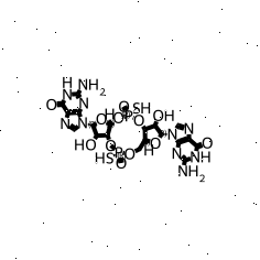 Nc1nc2c(ncn2[C@@H]2O[C@@H]3O[P@](=O)(S)OC4C(O)[C@H](n5cnc6c(=O)[nH]c(N)nc65)O[C@@H]4CO[P@@](=O)(S)OC3C2O)c(=O)[nH]1